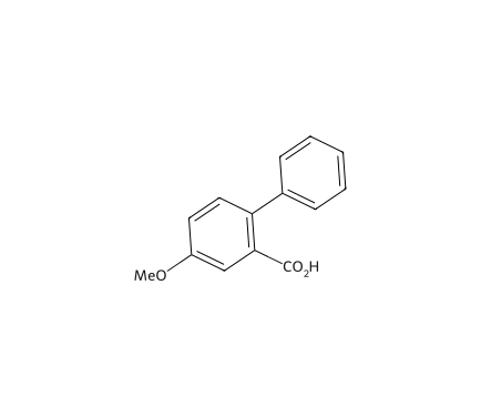 COc1ccc(-c2ccccc2)c(C(=O)O)c1